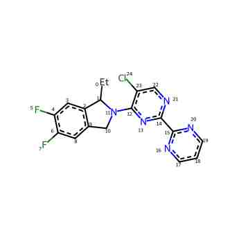 CCC1c2cc(F)c(F)cc2CN1c1nc(-c2ncccn2)ncc1Cl